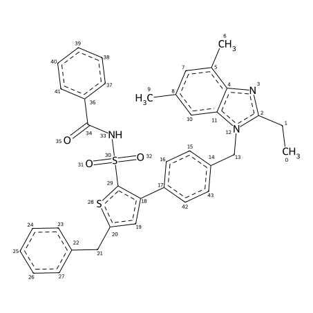 CCc1nc2c(C)cc(C)cc2n1Cc1ccc(-c2cc(Cc3ccccc3)sc2S(=O)(=O)NC(=O)c2ccccc2)cc1